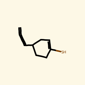 C=C=CC1CC=C(S)CC1